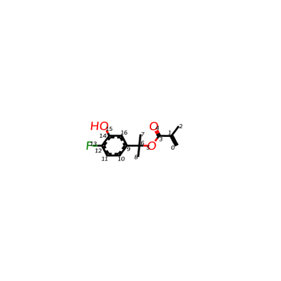 C=C(C)C(=O)OC(C)(C)c1ccc(F)c(O)c1